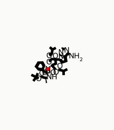 CC(C)C(=O)O[C@@H]1[C@@](C#N)(CO[P@@](=O)(N[C@@H](C)C(=O)OC(C)(C)C)Oc2ccccc2)OC[C@]1(OC(=O)C(C)C)c1ccc2c(N)ncnn12